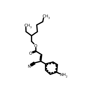 CCCCC(CC)COC(=O)C=C(C#N)c1ccc(N)cc1